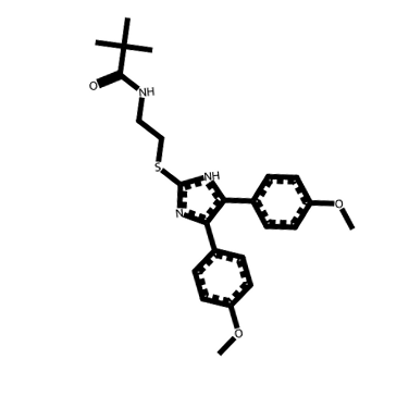 COc1ccc(-c2nc(SCCNC(=O)C(C)(C)C)[nH]c2-c2ccc(OC)cc2)cc1